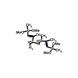 CO[Si](C)(/C=C(\C)[SiH](C)O[SiH](C)/C(C)=C/[Si](C)(OC)OC)OC